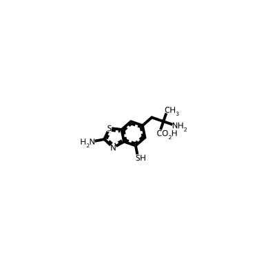 CC(N)(Cc1cc(S)c2nc(N)sc2c1)C(=O)O